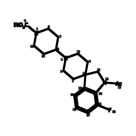 CCOC(=O)N1CCC(N2CCC3(CC2)CN(C(C)=O)c2c(F)cccc23)CC1